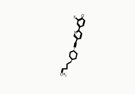 C=CCCC[C@H]1CC[C@H](C#Cc2ccc(-c3ccc(Cl)c(F)c3)nc2)CC1